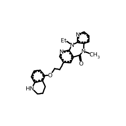 CCN1c2ncc(CCOc3cccc4c3CCCN4)cc2C(=O)N(C)c2cccnc21